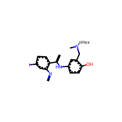 C=Nc1cc(I)ccc1C(=C)Nc1ccc(O)c(CN(C)CCCCCC)c1